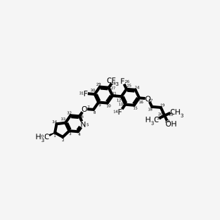 C[C@@H]1Cc2cnc(OCc3cc(-c4c(F)cc(OCCC(C)(C)O)cc4F)c(C(F)(F)F)cc3F)cc2C1